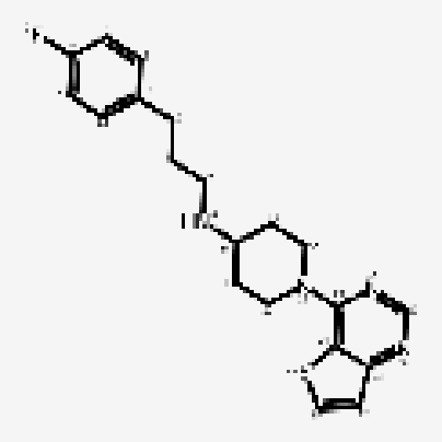 Fc1ccc(CCCNC2CCN(c3ncnc4ccsc34)CC2)cc1